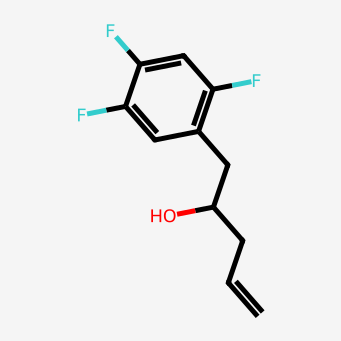 C=CCC(O)Cc1cc(F)c(F)cc1F